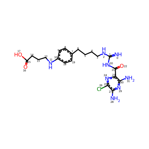 N=C(NCCCCc1ccc(NCCCC(=O)O)cc1)NC(=O)c1nc(Cl)c(N)nc1N